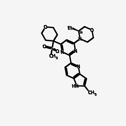 CC[C@H]1COCCN1c1cc(C2(S(C)(=O)=O)CCOCC2)nc(-c2ccc3[nH]c(C)cc3n2)n1